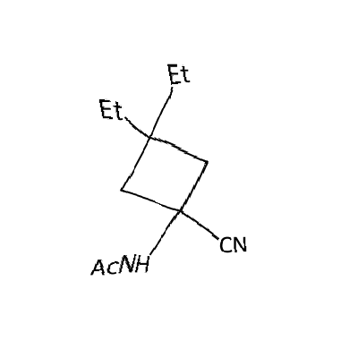 CCC1(CC)CC(C#N)(NC(C)=O)C1